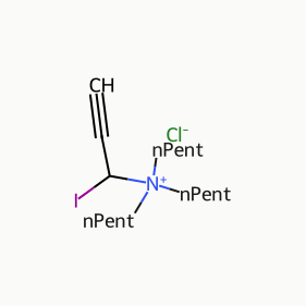 C#CC(I)[N+](CCCCC)(CCCCC)CCCCC.[Cl-]